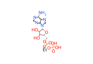 CCOP(=O)(OC[C@H]1O[C@@H](n2cnc3c(N)ncnc32)[C@H](O)[C@@H]1O)OP(=O)(O)O